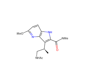 CNC(=O)c1[nH]c2ccc(OC)nc2c1[C@@H](C)CNC(C)=O